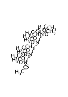 Cc1csc(N(CCCN(CCCCCN(CCCN(C(=O)OC(C)(C)C)c2cc(C)cs2)C(=O)OC(C)(C)C)C(=O)OC(C)(C)C)C(=O)OC(C)(C)C)c1